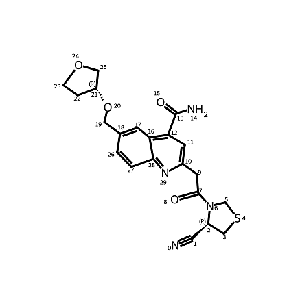 N#C[C@@H]1CSCN1C(=O)Cc1cc(C(N)=O)c2cc(CO[C@@H]3CCOC3)ccc2n1